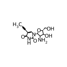 CC#Cc1cn([C@H]2O[C@@H](CO)C(O)C2N)c(=O)[nH]c1=O